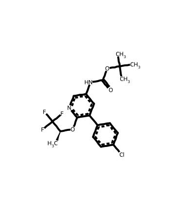 C[C@H](Oc1ncc(NC(=O)OC(C)(C)C)cc1-c1ccc(Cl)cc1)C(F)(F)F